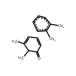 CC1=CC=CC(=O)C1C.Cc1ccccc1C